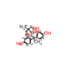 CC(C)(c1ccc(O)cc1)c1ccc(O)cc1.CC(CO)(CO)CO